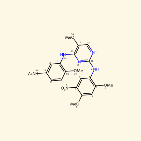 COc1cc(OC)c([N+](=O)[O-])cc1Nc1ncc(OC)c(Nc2cc(NC(C)=O)ccc2OC)n1